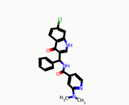 CN(C)c1cc(C(=O)NC(c2ccccc2)c2c[nH]c3cc(Cl)ccc3c2=O)ccn1